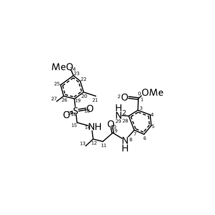 COC(=O)c1cccc(NC(=O)CC(C)NCS(=O)(=O)c2c(C)cc(OC)cc2C)c1N